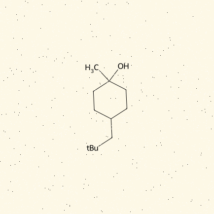 CC(C)(C)CC1CCC(C)(O)CC1